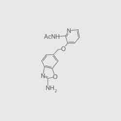 CC(=O)Nc1ncccc1OCc1ccc2nc(N)oc2c1